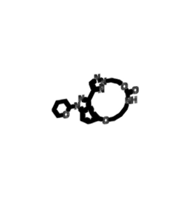 O=C1NCCCOc2ccc3c(c2)c(nn3C2CCCCO2)-c2cnn(n2)CCO1